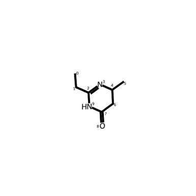 CCC1=NC(C)CC(=O)N1